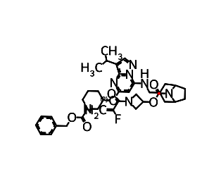 C=C(F)C(=O)N1CC(OC(=O)N2C3CCC2CC(CNc2cc(O[C@@H]4CCCN(C(=O)OCc5ccccc5)C4)nc4c(C(C)C)cnn24)C3)C1